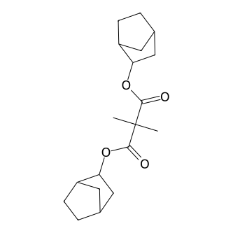 CC(C)(C(=O)OC1CC2CCC1C2)C(=O)OC1CC2CCC1C2